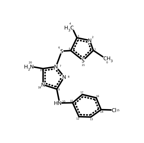 Cc1nc(C)c(Sn2nc(Nc3ccc(Cl)cc3)nc2N)s1